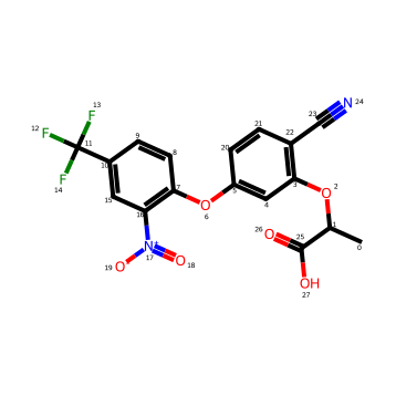 CC(Oc1cc(Oc2ccc(C(F)(F)F)cc2[N+](=O)[O-])ccc1C#N)C(=O)O